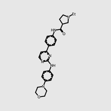 CCN1CCC(C(=O)Nc2ccc(-c3ccnc(Nc4ccc(N5CCOCC5)cc4)n3)cc2)C1